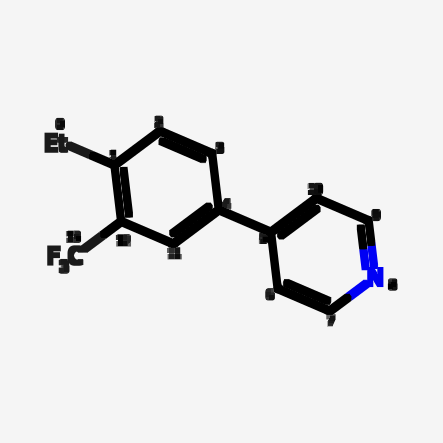 CCc1ccc(-c2ccncc2)cc1C(F)(F)F